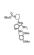 Bc1nn(C2CCCN(C(=O)OC(C)(C)C)C2)c2ccnc(NCc3ccc(OC)cc3OC)c12